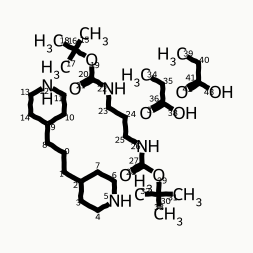 C(CC1CCNCC1)CC1CCNCC1.CC(C)(C)OC(=O)NCCCNC(=O)OC(C)(C)C.CCC(=O)O.CCC(=O)O